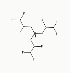 FC(F)C(F)C[SiH](CC(F)C(F)F)CC(F)C(F)F